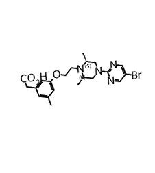 Cc1cc(CC(=O)O)cc(OCCN2[C@H](C)CN(c3ncc(Br)cn3)C[C@@H]2C)c1